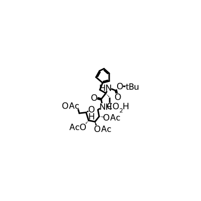 CC(=O)OC[C@@H](O)[C@@H](OC(C)=O)[C@H](OC(C)=O)[C@H](CNC(=O)[C@@](CC(=O)O)(Cc1ccccc1)NC(=O)OC(C)(C)C)OC(C)=O